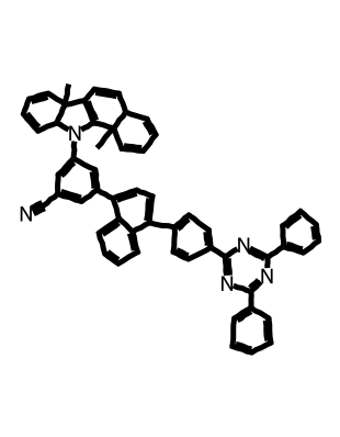 CC12C=CC=CC1C=CC1=C2N(c2cc(C#N)cc(-c3ccc(-c4ccc(-c5nc(-c6ccccc6)nc(-c6ccccc6)n5)cc4)c4ccccc34)c2)C2C=CC=CC12C